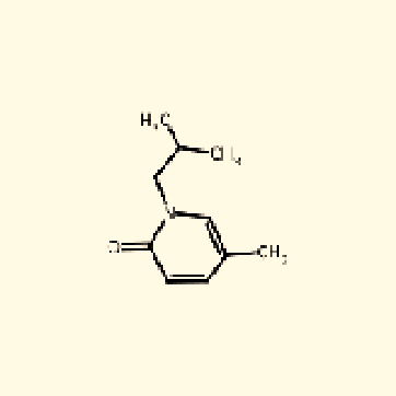 Cc1ccc(=O)n(CC(C)C)c1